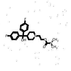 CN(C)C(=O)OCCN1CCC(C(O)(c2ccc(F)cc2)c2ccc(F)cc2)CC1